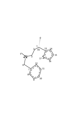 C[C@@H](CCN(C)Cc1ccccc1)c1cccs1